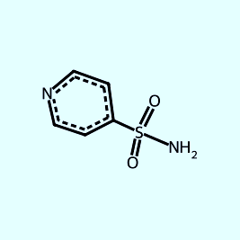 NS(=O)(=O)c1ccncc1